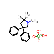 CCC1(C)CC(c2ccccc2)(c2ccccc2)CN1C.[O-][Cl+3]([O-])([O-])O